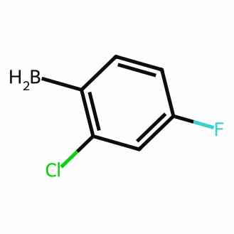 Bc1ccc(F)cc1Cl